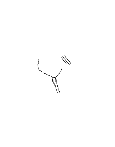 C#C.C=C(C)CC